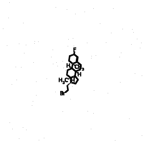 C[C@]12CC[C@H]3[C@@H](CCC4=CC(F)CC[C@@]43C)[C@@H]1CC[C@@H]2CCBr